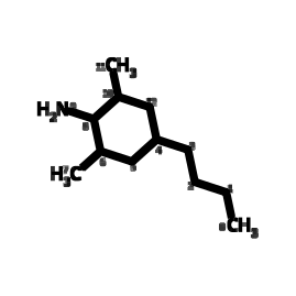 CCCCC1CC(C)C(N)C(C)C1